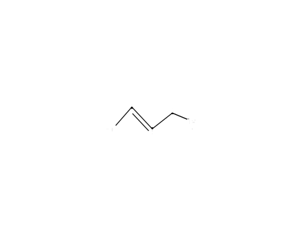 CCC=CCBr